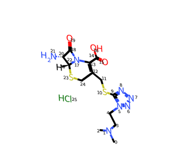 CN(C)CCn1nnnc1SCC1=C(C(=O)O)N2C(=O)[C@@H](N)[C@H]2SC1.Cl